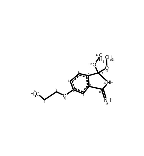 CCCOc1ccc2c(c1)C(=N)NC2(OC)OC